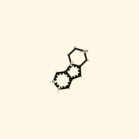 c1nncc2c1cc1n2CCNC1